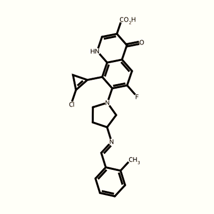 Cc1ccccc1C=NC1CCN(c2c(F)cc3c(=O)c(C(=O)O)c[nH]c3c2C2=C(Cl)C2)C1